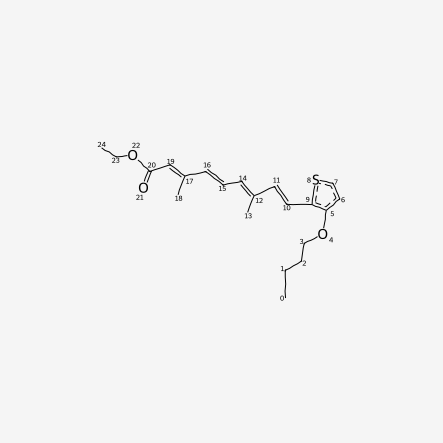 CCCCOc1ccsc1/C=C/C(C)=C/C=C/C(C)=C/C(=O)OCC